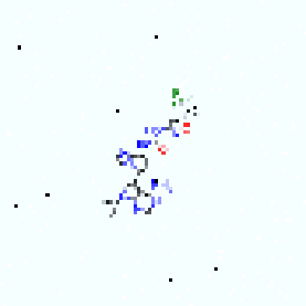 Nc1ncnc2c1c(-c1ccc(NC(=O)Nc3cc(C4(C(F)(F)F)CC4)on3)c3nccn13)cn2C1CCC1